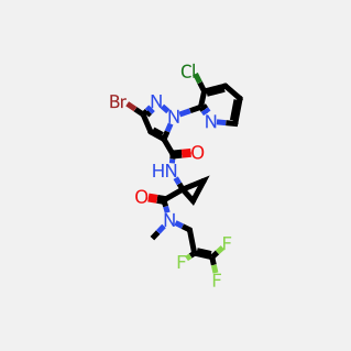 CN(CC(F)=C(F)F)C(=O)C1(NC(=O)c2cc(Br)nn2-c2ncccc2Cl)CC1